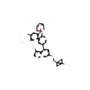 Bc1cc(CN2C3CC2CN(c2ccc(-c4cc(OCC56CC5(C#N)C6)cn5ncc(C#N)c45)cn2)C3)cnc1OC